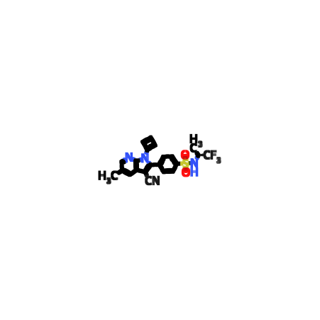 Cc1cnc2c(c1)c(C#N)c(-c1ccc(S(=O)(=O)N[C@H](C)C(F)(F)F)cc1)n2C1=CC=C1